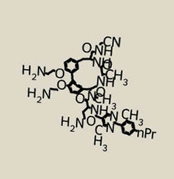 CCCc1ccc(-c2ncc(C(=O)NC(CCN)C(=O)N(C)C3C(=O)NC(C)C(=O)NC(C(=O)NCC#N)Cc4ccc(OCCN)c(c4)-c4cc3ccc4OCCN)c(C)n2)c(C)c1